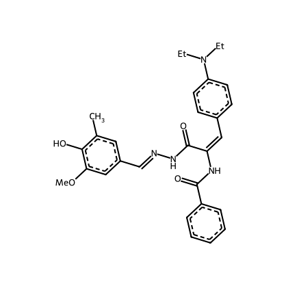 CCN(CC)c1ccc(/C=C(/NC(=O)c2ccccc2)C(=O)N/N=C/c2cc(C)c(O)c(OC)c2)cc1